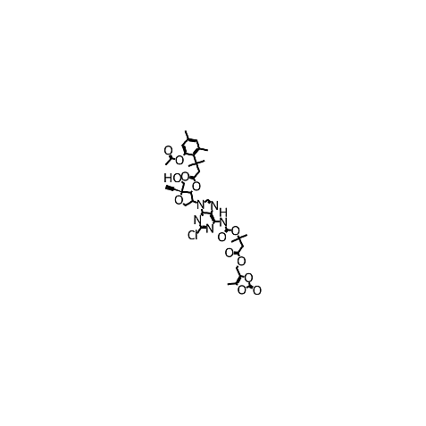 C#C[C@]1(CO)OCC(n2cnc3c(NC(=O)OC(C)(C)CC(=O)OCc4oc(=O)oc4C)nc(Cl)nc32)[C@@H]1OC(=O)CC(C)(C)c1c(C)cc(C)cc1OC(C)=O